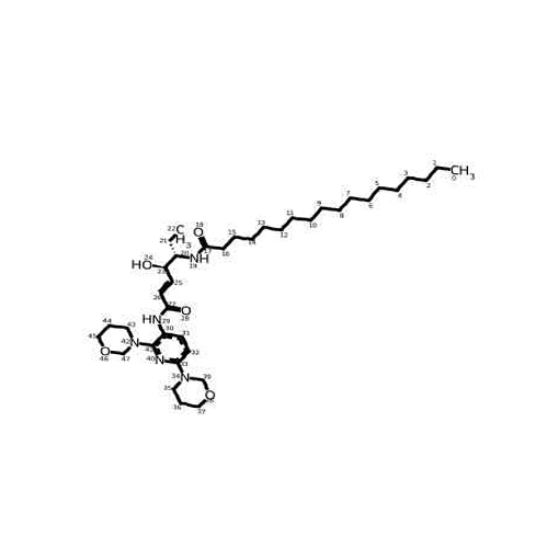 CCCCCCCCCCCCCCCCCC(=O)N[C@@H](CC)[C@H](O)/C=C/C(=O)Nc1ccc(N2CCCOC2)nc1N1CCCOC1